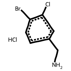 Cl.NCc1ccc(Br)c(Cl)c1